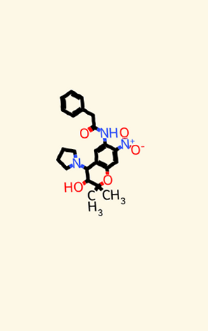 CC1(C)Oc2cc([N+](=O)[O-])c(NC(=O)Cc3ccccc3)cc2C(N2CCCC2)C1O